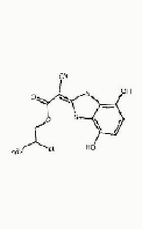 CCCCC(CC)COC(=O)C(C#N)=C1Sc2c(O)ccc(O)c2S1